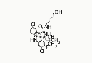 CC(C)(C)C[C@H]1N[C@@H](C(=O)NCCCCCO)[C@H](c2cccc(Cl)c2)[C@@]12C(=O)Nc1cc(Cl)c(F)cc12